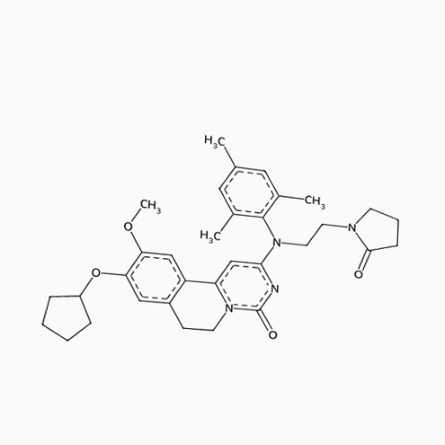 COc1cc2c(cc1OC1CCCC1)CCn1c-2cc(N(CCN2CCCC2=O)c2c(C)cc(C)cc2C)nc1=O